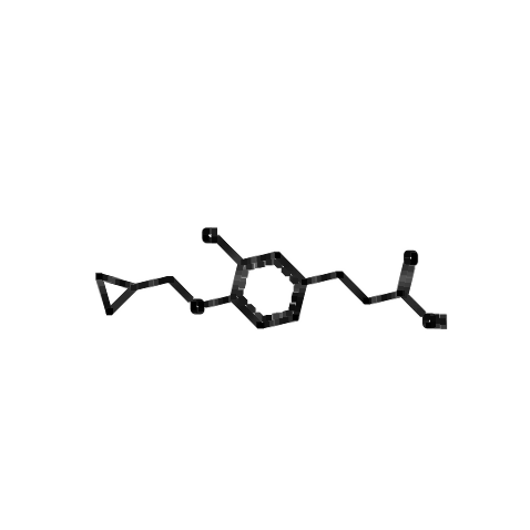 O=C(O)CCc1ccc(OCC2CC2)c(Cl)c1